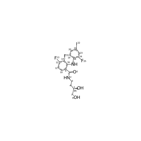 O=C(NCC[C@@H](O)CO)c1ccc(F)c(F)c1Nc1ccc(I)cc1F